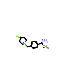 CC(N)c1ccc(CN2CCC(F)(F)CC2)cc1